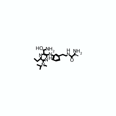 CCc1nc(C(N)O)c(Nc2cccc(CCNC(=O)[C@H](C)N)c2)nc1N(C)C(C)C